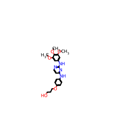 COc1cc(Nc2nccc(Nc3ccc(OCCCO)cc3)n2)cc(OC)c1OC